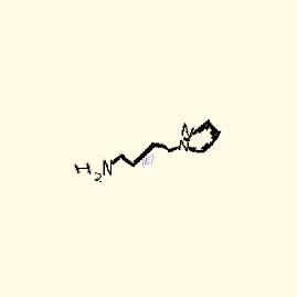 NC/C=C/Cn1cccn1